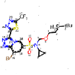 CC(C)(C)[SiH2]CCOCN(C1CC1)S(=O)(=O)c1cc(Br)c2nnc(-c3nnc(C(F)(F)F)s3)n2c1